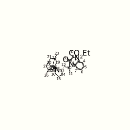 CCOC(=O)c1nc2ccccc2n([C@@H](C)C[C@@H]2CCCN2C23CC4CC(C)(CC(C)(C4)C2)C3)c1=O